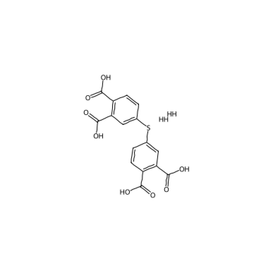 O=C(O)c1ccc(Sc2ccc(C(=O)O)c(C(=O)O)c2)cc1C(=O)O.[HH].[HH]